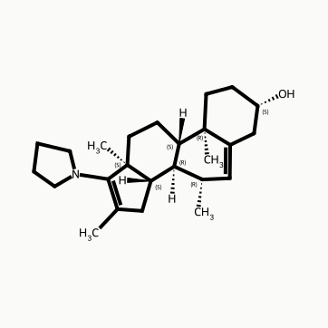 CC1=C(N2CCCC2)[C@@]2(C)CC[C@H]3[C@@H]([C@@H](C)C=C4C[C@@H](O)CC[C@@]43C)[C@@H]2C1